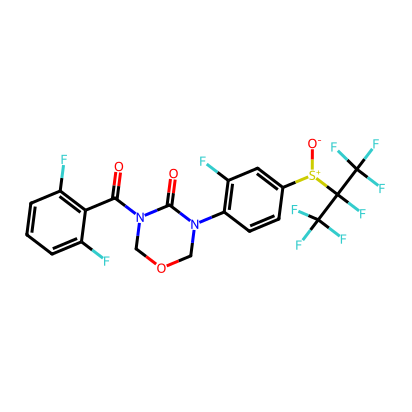 O=C(c1c(F)cccc1F)N1COCN(c2ccc([S+]([O-])C(F)(C(F)(F)F)C(F)(F)F)cc2F)C1=O